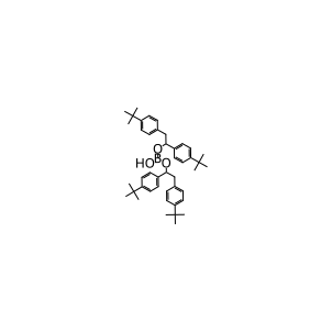 CC(C)(C)c1ccc(CC(OB(O)OC(Cc2ccc(C(C)(C)C)cc2)c2ccc(C(C)(C)C)cc2)c2ccc(C(C)(C)C)cc2)cc1